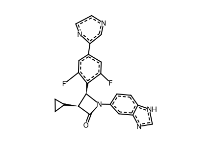 O=C1[C@@H](C2CC2)[C@@H](c2c(F)cc(-c3cnccn3)cc2F)N1c1ccc2[nH]cnc2c1